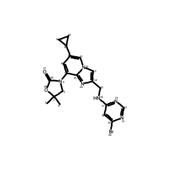 CC1(C)CN(c2cc(C3CC3)cn3cc(CNc4cc(Br)ncn4)nc23)C(=O)O1